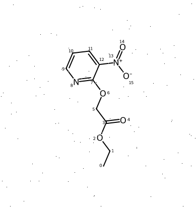 CCOC(=O)COc1ncccc1[N+](=O)[O-]